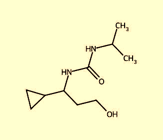 CC(C)NC(=O)NC(CCO)C1CC1